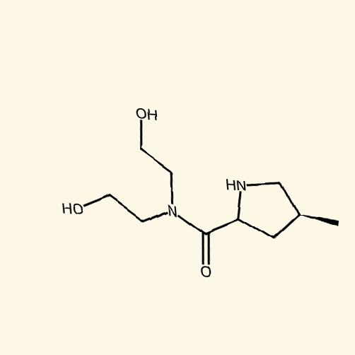 C[C@@H]1CNC(C(=O)N(CCO)CCO)C1